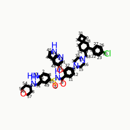 N=C1C=CC([S+]([O-])NC(=O)c2ccc(N3CCN(CC4=C(c5ccc(Cl)cc5)CC5(CCC5)CC4)CC3)cc2Oc2cnc3[nH]ccc3c2)=C/C1=C/NC1CCOCC1